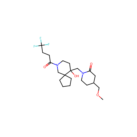 COCC1CCN(CC2(O)CCN(C(=O)CCC(F)(F)F)CC23CCCC3)C(=O)C1